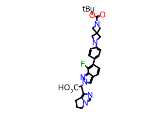 CC(C)(C)OC(=O)N1CC2(C1)CN(c1ccc(-c3ccc4cn(C(C(=O)O)c5ncn6c5CCC6)nc4c3F)cc1)C2